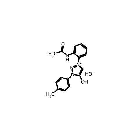 CC(=O)Nc1ccccc1-[n+]1cc(O)n(-c2ccc(C)cc2)n1.[OH-]